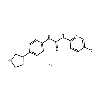 Cl.O=C(Nc1ccc(C2CCNC2)cc1)Nc1ccc(Cl)cn1